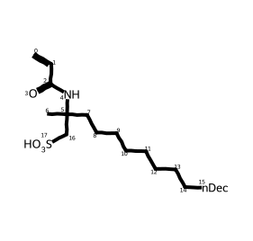 C=CC(=O)NC(C)(CCCCCCCCCCCCCCCCCC)CS(=O)(=O)O